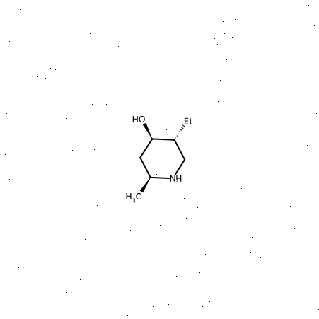 CC[C@@H]1CN[C@@H](C)C[C@H]1O